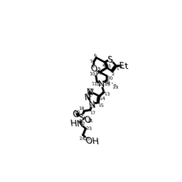 CCc1cc2c(s1)CCO[C@@]21CCN(Cc2cn(CCS(=O)(=O)NCCO)nn2)[C@@H](C)C1